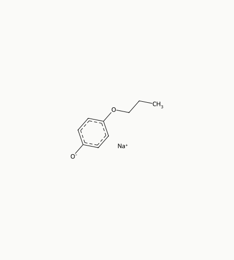 CCCOc1ccc([O-])cc1.[Na+]